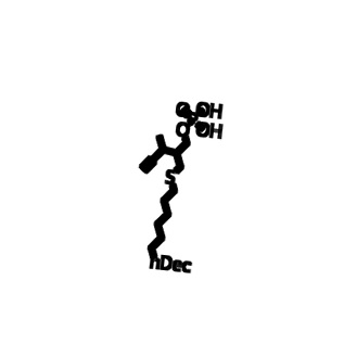 C#CC(C)C(COP(=O)(O)O)CSCCCCCCCCCCCCCCCC